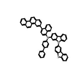 c1ccc(-c2ccc(N(c3ccc4c5ccccc5n(-c5ccc6sc7ccccc7c6c5)c4c3)c3ccc(-c4ccc5ccc6c7ccccc7ccc6c5c4)c4ccccc34)cc2)cc1